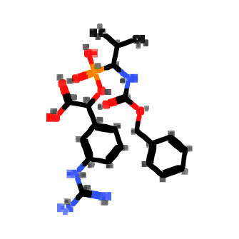 CC(C)C(NC(=O)OCc1ccccc1)P(=O)(O)OC(C(=O)O)c1cccc(NC(=N)N)c1